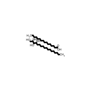 CCCCCCCCCCCCCCC(O)C(O)C(N)CO.CCCCCCCCCCCCCCCC(=O)O